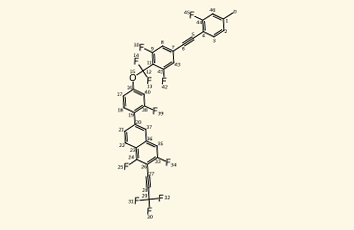 Cc1ccc(C#Cc2cc(F)c(C(F)(F)Oc3ccc(-c4ccc5c(F)c(C#CC(F)(F)F)c(F)cc5c4)c(F)c3)c(F)c2)c(F)c1